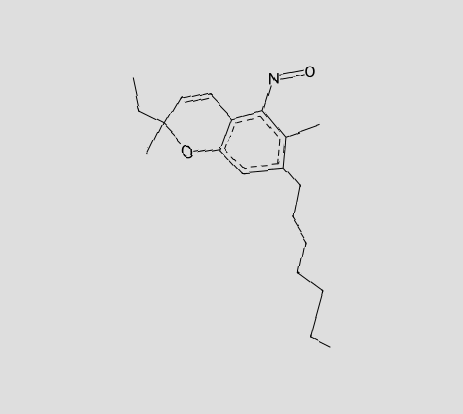 CCCCCCCc1cc2c(c(N=O)c1C)C=CC(C)(CC)O2